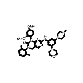 COc1ccc(N2C(=O)N(c3c(C)cccc3C)Cc3cnc(Nc4cc(N5CCOCC5)cc(N5CCN(C)CC5)c4)nc32)c(OC)c1